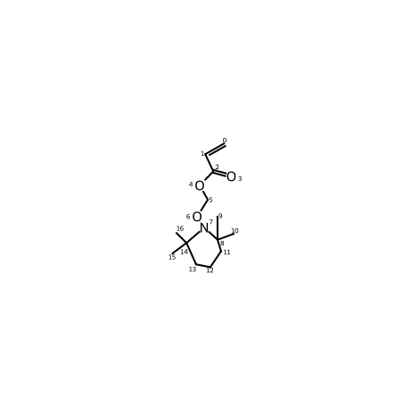 C=CC(=O)OCON1C(C)(C)CCCC1(C)C